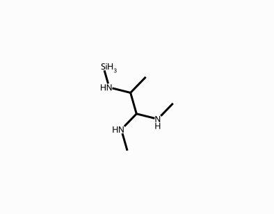 CNC(NC)C(C)N[SiH3]